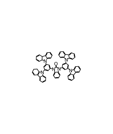 O=c1n(-c2cc(N3c4ccccc4C4C=CC=CC43)cc(-n3c4c(c5ccccc53)C=CCC4)c2)c2ccccc2n1-c1cc(-n2c3ccccc3c3ccccc32)cc(-n2c3ccccc3c3ccccc32)c1